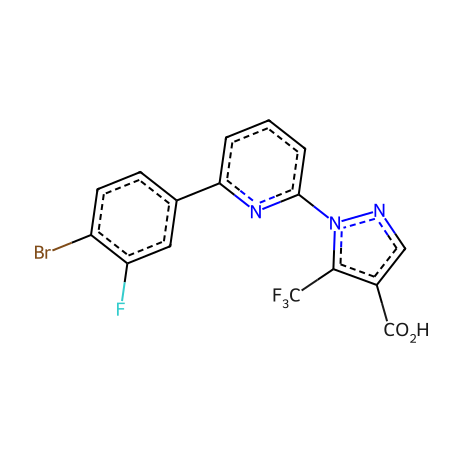 O=C(O)c1cnn(-c2cccc(-c3ccc(Br)c(F)c3)n2)c1C(F)(F)F